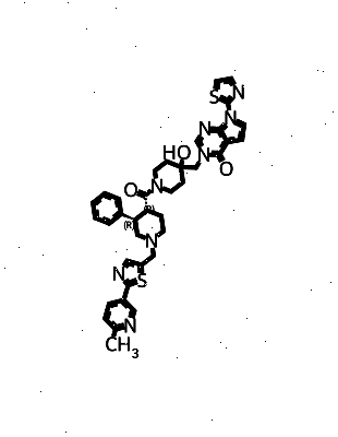 Cc1ccc(-c2ncc(CN3CC[C@@H](C(=O)N4CCC(O)(Cn5cnc6c(ccn6-c6nccs6)c5=O)CC4)[C@H](c4ccccc4)C3)s2)cn1